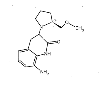 COC[C@@H]1CCCN1C1Cc2cccc(N)c2NC1=O